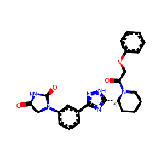 O=C1CN(c2cccc(-c3n[nH]c([C@H]4CCCCN4C(=O)COc4ccccc4)n3)c2)C(=O)N1